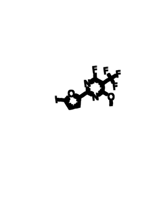 COc1nc(-c2ccc(I)o2)nc(F)c1C(F)(F)F